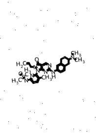 C=CCn1c(=O)c2cnc(Nc3ccc4c(c3)CCC(N(C)C)C4)nc2n1-c1nc(N=S(C)(C)=O)ccc1C